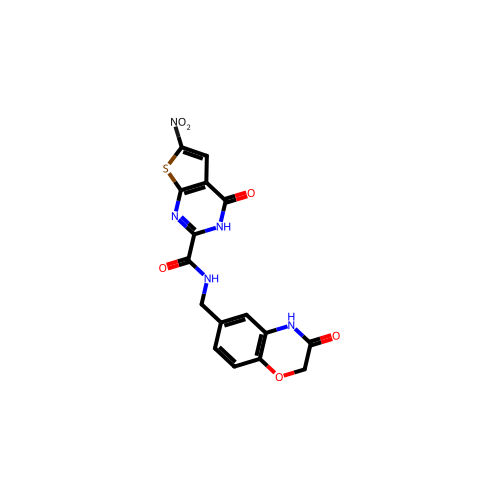 O=C1COc2ccc(CNC(=O)c3nc4sc([N+](=O)[O-])cc4c(=O)[nH]3)cc2N1